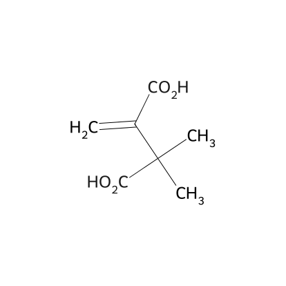 C=C(C(=O)O)C(C)(C)C(=O)O